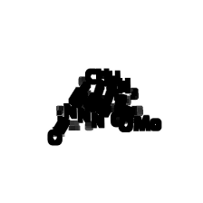 CC#N.CC#N.CC#N.[C]=O.[C]=O.[C]=O.[Mo]